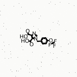 O=C(O)c1ncn(Cc2ccc(OC(F)(F)F)cc2)c1C(=O)O